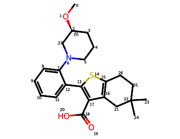 CO[C@H]1CCCN(c2ccccc2-c2sc3c(c2C(=O)O)CC(C)(C)CC3)C1